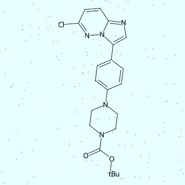 CC(C)(C)OC(=O)N1CCN(c2ccc(-c3cnc4ccc(Cl)nn34)cc2)CC1